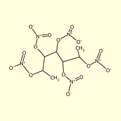 CC(O[N+](=O)[O-])C(O[N+](=O)[O-])C(O[N+](=O)[O-])C(O[N+](=O)[O-])C(C)O[N+](=O)[O-]